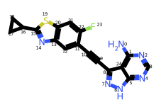 Nc1ncnc2[nH]nc(C#Cc3cc4nc(C5CC5)sc4cc3F)c12